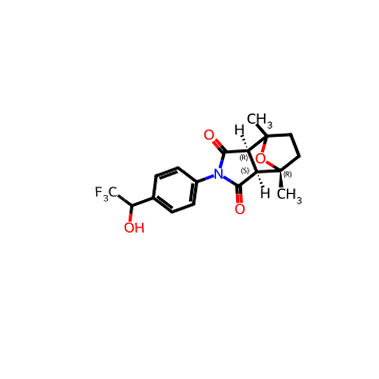 CC12CC[C@@](C)(O1)[C@H]1C(=O)N(c3ccc(C(O)C(F)(F)F)cc3)C(=O)[C@H]12